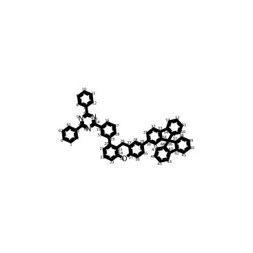 c1ccc(-c2nc(-c3ccccc3)nc(-c3cccc(-c4cccc5c4Cc4cc(-c6ccc7c(c6)C6(c8ccccc8-c8ccccc86)c6ccccc6-7)ccc4O5)c3)n2)cc1